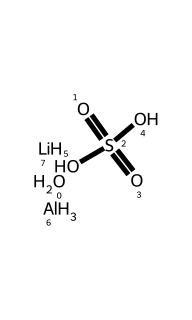 O.O=S(=O)(O)O.[AlH3].[LiH]